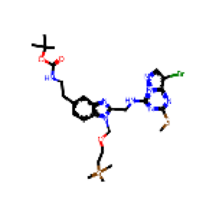 CSc1nc(NCc2nc3cc(CCNC(=O)OC(C)(C)C)ccc3n2COCCS(C)(C)C)n2ncc(Br)c2n1